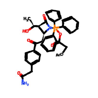 CC(=O)OCC(=O)OP(c1ccccc1)(c1ccccc1)(c1ccccc1)N1C(=O)[C@H]([C@@H](C)O)[C@H]1CC(=O)c1ccc(CC(N)=O)cc1